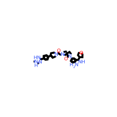 CN/C=N\C(=N)c1ccc(C2=CCN(C(=O)CN3CC[C@]4(CCN(c5ccc(N)c(C(=N)C6CCOCC6)c5)C4=O)C3)CC2)cc1